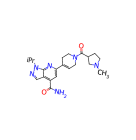 CC(C)n1ncc2c(C(N)=O)cc(C3=CCN(C(=O)C4CCN(C)C4)CC3)nc21